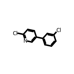 Clc1cccc(-c2ccc(Cl)nc2)c1